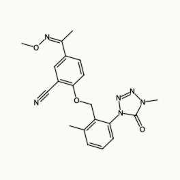 CO/N=C(/C)c1ccc(OCc2c(C)cccc2-n2nnn(C)c2=O)c(C#N)c1